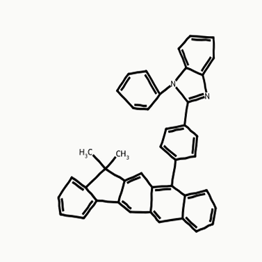 CC1(C)c2ccccc2-c2cc3cc4ccccc4c(-c4ccc(-c5nc6ccccc6n5-c5ccccc5)cc4)c3cc21